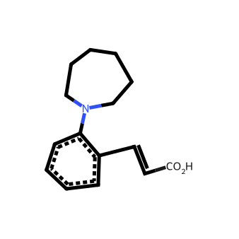 O=C(O)/C=C/c1ccccc1N1CCCCCC1